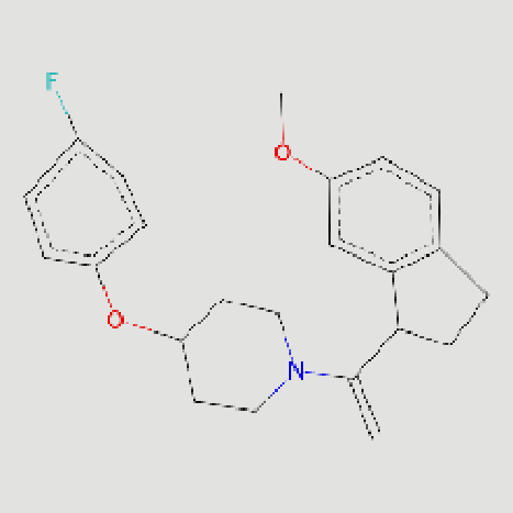 C=C(C1CCc2ccc(OC)cc21)N1CCC(Oc2ccc(F)cc2)CC1